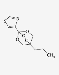 CCCC12COC(c3cscn3)(OC1)OC2